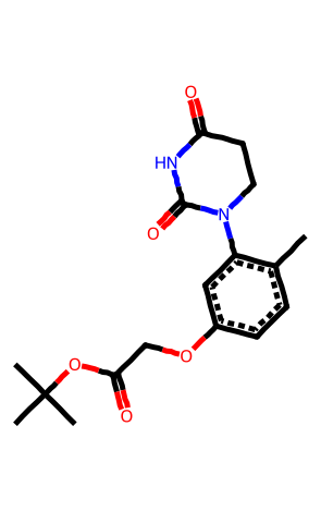 Cc1ccc(OCC(=O)OC(C)(C)C)cc1N1CCC(=O)NC1=O